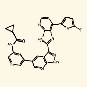 O=C(Nc1cncc(-c2cnc3[nH]nc(-c4nc5c(-c6ccc(F)s6)ccnc5[nH]4)c3c2)c1)C1CC1